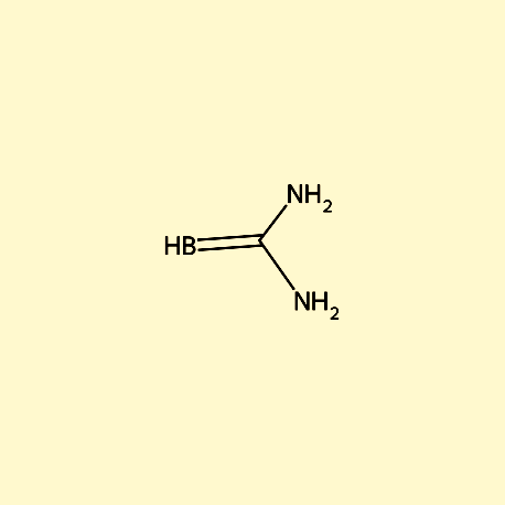 B=C(N)N